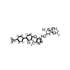 Cc1nnn(COCC[Si](C)(C)C)c1Oc1ccc(-c2ccc(C3CC3)cc2)cc1